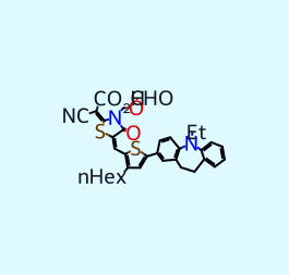 CCCCCCc1cc(-c2ccc3c(c2)CCc2ccccc2N3CC)sc1/C=c1/s/c(=C(\C#N)C(=O)O)n(COC=O)c1=O